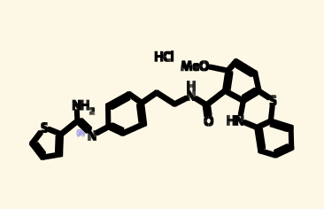 COc1ccc2c(c1C(=O)NCCc1ccc(/N=C(\N)c3cccs3)cc1)Nc1ccccc1S2.Cl